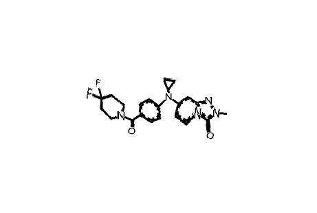 Cn1nc2cc(N(c3ccc(C(=O)N4CCC(F)(F)CC4)cc3)C3CC3)ccn2c1=O